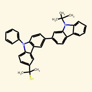 CC(C)(S)c1ccc2c(c1)c1cc(-c3ccc4c5ccccc5n(C(C)(C)C)c4c3)ccc1n2-c1ccccc1